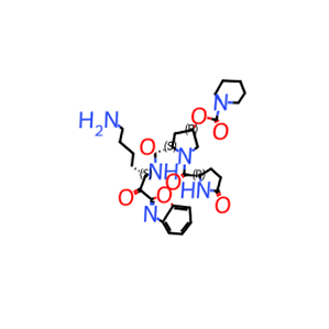 NCCCC[C@H](NC(=O)[C@@H]1C[C@@H](OC(=O)N2CCCCC2)CN1C(=O)[C@H]1CCC(=O)N1)C(=O)c1nc2ccccc2o1